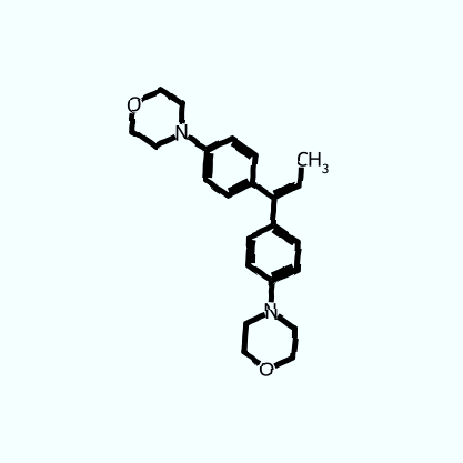 CC=C(c1ccc(N2CCOCC2)cc1)c1ccc(N2CCOCC2)cc1